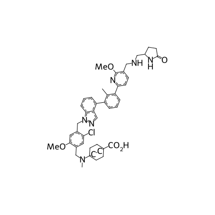 COc1cc(Cn2ncc3c(-c4cccc(-c5ccc(CNCC6CCC(=O)N6)c(OC)n5)c4C)cccc32)c(Cl)cc1CN(C)C12CCC(C(=O)O)(CC1)CC2